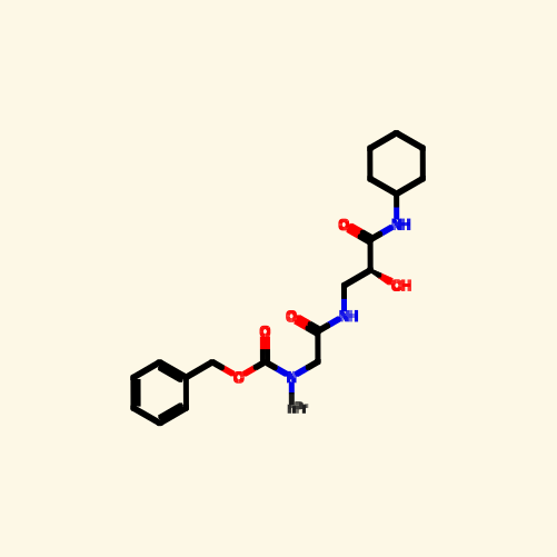 CCCN(CC(=O)NC[C@H](O)C(=O)NC1CCCCC1)C(=O)OCc1ccccc1